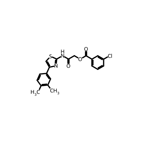 Cc1ccc(-c2csc(NC(=O)COC(=O)c3cccc(Cl)c3)n2)cc1C